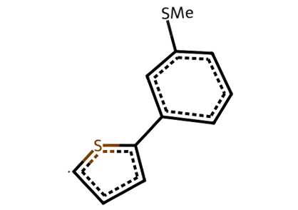 CSc1cccc(-c2cc[c]s2)c1